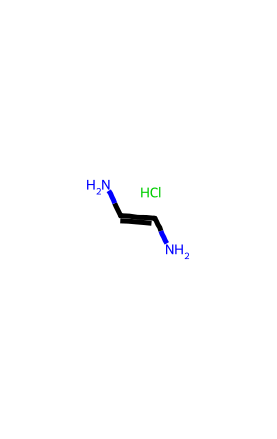 Cl.NC=CN